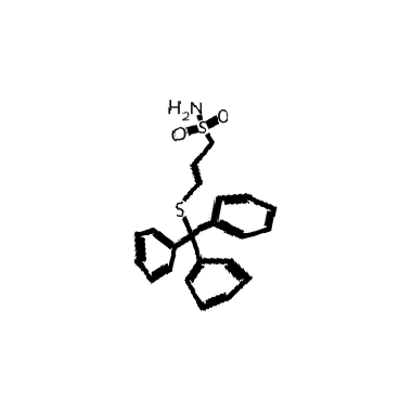 NS(=O)(=O)CCCSC(c1ccccc1)(c1ccccc1)c1ccccc1